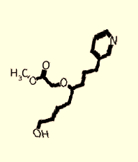 COC(=O)COC(CCCCO)CCCc1cccnc1